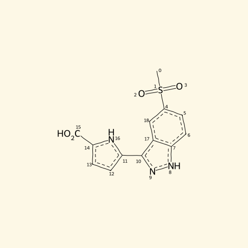 CS(=O)(=O)c1ccc2[nH]nc(-c3ccc(C(=O)O)[nH]3)c2c1